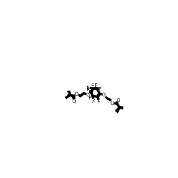 C=C(C)C(=O)OCCOC1=C(F)C(F)(F)C(F)(OCCOC(=O)C(=C)C)C(F)(F)C1(F)F